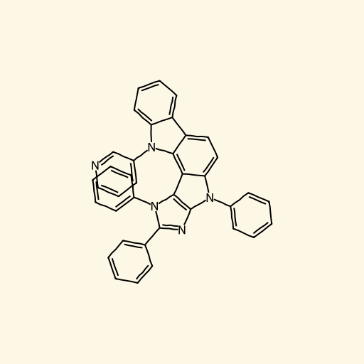 c1ccc(-c2nc3c(c4c(ccc5c6ccccc6n(-c6cccnc6)c54)n3-c3ccccc3)n2-c2ccccc2)cc1